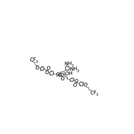 Nc1cc(N)cc(C(CC(=O)/C=C/c2ccc(OC(=O)c3ccc(OCCCCC(F)(F)F)cc3)cc2)C(O)(O)C(=O)/C=C/c2ccc(OC(=O)c3ccc(OCCCCC(F)(F)F)cc3)cc2)c1